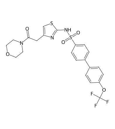 O=C(Cc1csc(NS(=O)(=O)c2ccc(-c3ccc(OC(F)(F)F)cc3)cc2)n1)N1CCOCC1